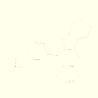 CN1CNC=C2C1=NC(Cc1cccc(OC(F)(F)F)c1)N2Cc1ccccn1